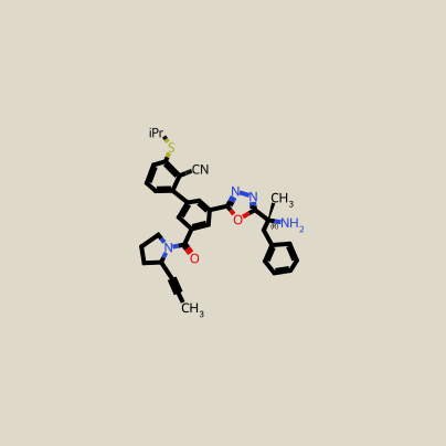 CC#CC1CCCN1C(=O)c1cc(-c2nnc([C@](C)(N)Cc3ccccc3)o2)cc(-c2cccc(SC(C)C)c2C#N)c1